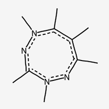 Cc1nn(C)c(C)nn(C)c(C)c1C